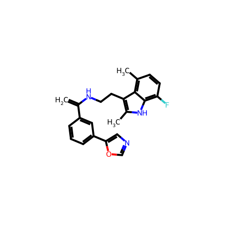 C=C(NCCc1c(C)[nH]c2c(F)ccc(C)c12)c1cccc(-c2cnco2)c1